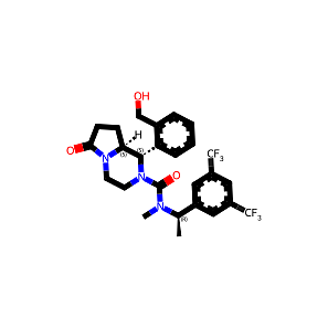 C[C@H](c1cc(C(F)(F)F)cc(C(F)(F)F)c1)N(C)C(=O)N1CCN2C(=O)CC[C@H]2[C@@H]1c1ccccc1CO